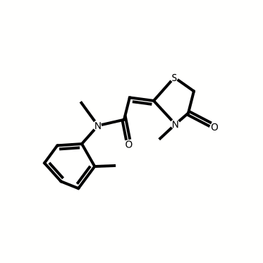 Cc1ccccc1N(C)C(=O)C=C1SCC(=O)N1C